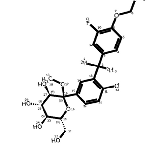 [2H]C([2H])(c1ccc(OCC)c(F)c1)c1cc([C@]2(OC)O[C@H](CO)[C@@H](O)[C@H](O)[C@H]2O)ccc1Cl